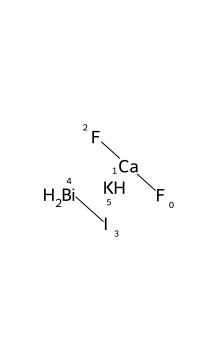 [F][Ca][F].[I][BiH2].[KH]